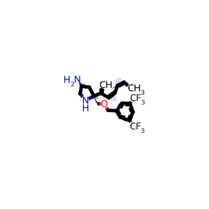 C=C(/C=C\C=C/C)[C@]1(COCc2cc(C(F)(F)F)cc(C(F)(F)F)c2)C[C@H](N)CN1